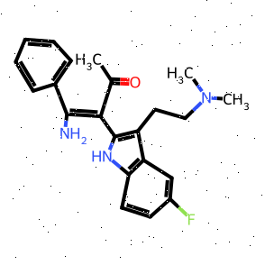 CC(=O)C(=C(N)c1ccccc1)c1[nH]c2ccc(F)cc2c1CCN(C)C